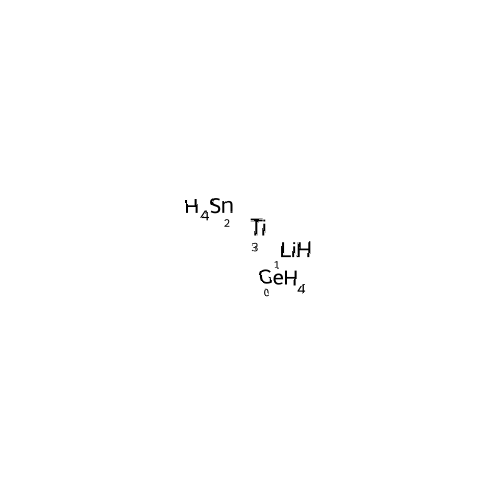 [GeH4].[LiH].[SnH4].[Ti]